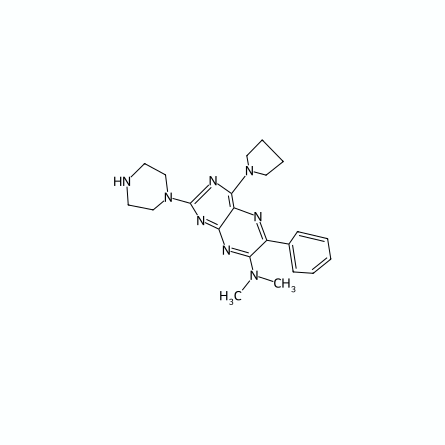 CN(C)c1nc2nc(N3CCNCC3)nc(N3CCCC3)c2nc1-c1ccccc1